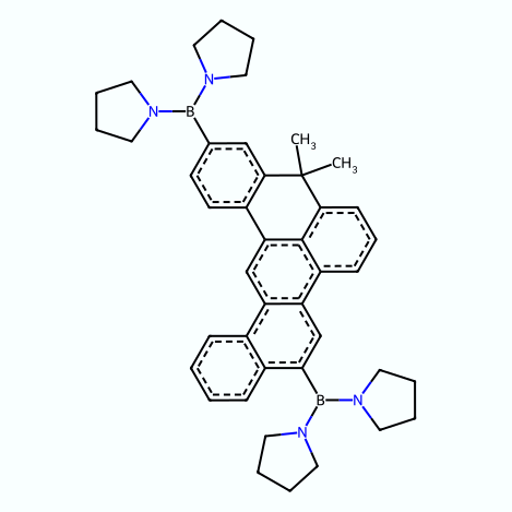 CC1(C)c2cc(B(N3CCCC3)N3CCCC3)ccc2-c2cc3c4ccccc4c(B(N4CCCC4)N4CCCC4)cc3c3cccc1c23